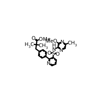 COC(=O)C(C)(C)Cc1ccc(-c2ncccc2S(=O)(=O)Nc2ncc(C)nc2OC)cc1